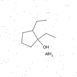 CCC1CCCC1(O)CC.[AlH3]